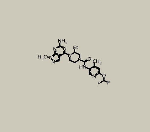 CC[C@H]1CN(C(=O)Nc2cnc(OC(F)F)cc2C)CCN1c1nc(N)nc2c1cnn2C